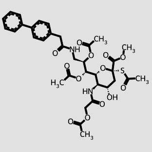 COC(=O)[C@@]1(SC(C)=O)C[C@H](O)[C@@H](NC(=O)COC(C)=O)[C@H]([C@H](OC(C)=O)[C@@H](CNC(=O)Cc2ccc(-c3ccccc3)cc2)OC(C)=O)O1